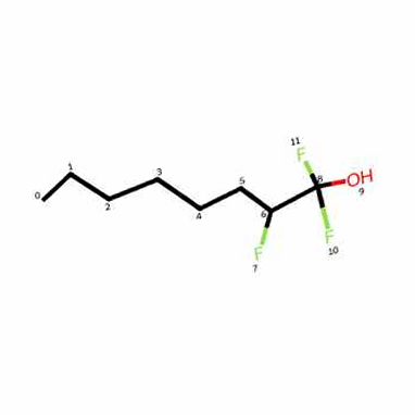 CCCCCCC(F)C(O)(F)F